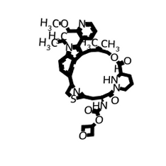 CCn1c(-c2cccnc2[C@H](C)OC)c2c3cc(ccc31)C1CSC(=N1)C[C@H](NC(=O)OC1COC1)C(=O)N1CCC[C@H](N1)C(=O)OCC(C)(C)C2